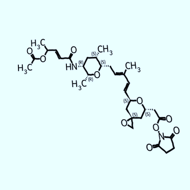 CC(=O)OC(C)C=CC(=O)N[C@@H]1C[C@H](C)[C@H](CC=C(C)C=C[C@@H]2C[C@]3(CO3)C[C@@H](CC(=O)ON3C(=O)CCC3=O)O2)O[C@@H]1C